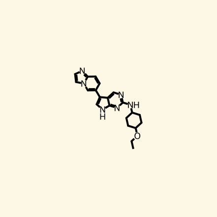 CCOC1CCC(Nc2ncc3c(-c4ccc5nccn5c4)c[nH]c3n2)CC1